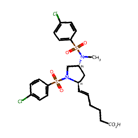 CN([C@@H]1C[C@@H](C=CCCCC(=O)O)N(S(=O)(=O)c2ccc(Cl)cc2)C1)S(=O)(=O)c1ccc(Cl)cc1